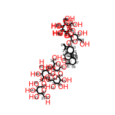 C=C1C[C@@]23CCC4[C@](C)(C(=O)OC5OC(CO)C(O)C(OC6OC(COC7OC(CO)C(O)C(O)C7O)C(O)C(O)C6O)C5OC5OC(CO)C(O)C(O)C5O)CCC[C@@]4(C)[C@@H]2CCC1(OC1OC(CO)C(O)C(OC2OC(CO)C(O)C(O)C2O)C1OC1OC(CO)C(O)C(O)C1O)C3